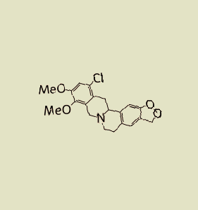 COc1cc(Cl)c2c(c1OC)CN1CCc3cc4c(cc3C1C2)OOC4